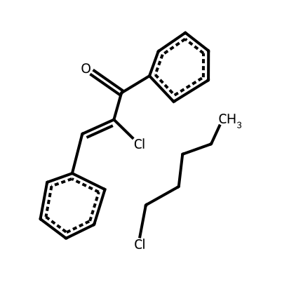 CCCCCCl.O=C(C(Cl)=Cc1ccccc1)c1ccccc1